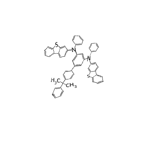 CC(C)(c1ccccc1)c1ccc(-c2cc(N(c3ccccc3)c3ccc4c(c3)sc3ccccc34)cc(N(c3ccccc3)c3ccc4c(c3)sc3ccccc34)c2)cc1